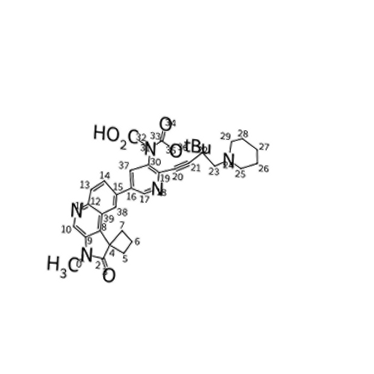 CN1C(=O)C2(CCC2)c2c1cnc1ccc(-c3cnc(C#CCCN4CCCCC4)c(N(C(=O)O)C(=O)OC(C)(C)C)c3)cc21